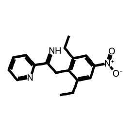 CCc1cc([N+](=O)[O-])cc(CC)c1CC(=N)c1ccccn1